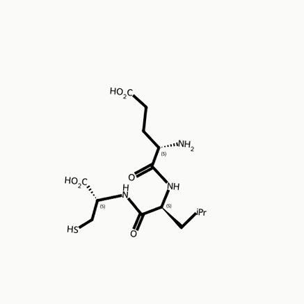 CC(C)C[C@H](NC(=O)[C@@H](N)CCC(=O)O)C(=O)N[C@H](CS)C(=O)O